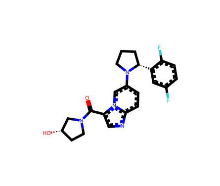 O=C(c1cnc2ccc(N3CCC[C@@H]3c3cc(F)ccc3F)cn12)N1CC[C@H](O)C1